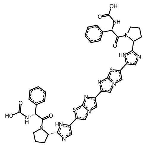 O=C(O)N[C@@H](C(=O)N1CCCC1c1ncc(-c2cn3cc(-c4cn5cc(-c6cnc([C@@H]7CCCN7C(=O)[C@H](NC(=O)O)c7ccccc7)[nH]6)sc5n4)nc3s2)[nH]1)c1ccccc1